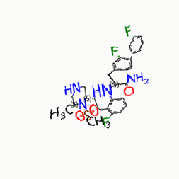 C[C@H]1CNC[C@H](CCc2c(F)cccc2N[C@@H](Cc2ccc(-c3cccc(F)c3)c(F)c2)C(N)=O)N1S(C)(=O)=O